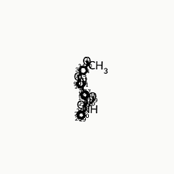 CC(=O)C1CCC(Oc2ccc(-c3ccc4c(c3)OCCN4C(=O)Nc3ccccc3)cn2)CC1